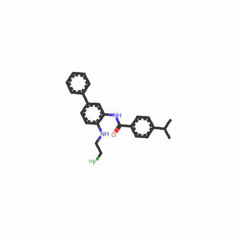 CC(C)c1ccc(C(=O)Nc2cc(-c3ccccc3)ccc2NCC[18F])cc1